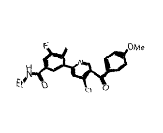 CCNC(=O)c1cc(F)c(C)c(-c2cc(Cl)c(C(=O)c3ccc(OC)cc3)cn2)c1